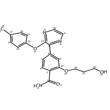 NC(=O)c1ccc(-c2nccnc2Oc2ccc(C(F)(F)F)cc2)cc1OCCCO